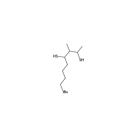 CCC(C)CCCCC(S)C(C)C(C)S